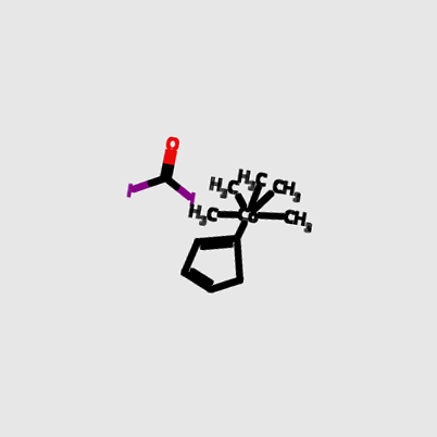 O=C(I)I.[CH3][Co]([CH3])([CH3])([CH3])([CH3])[C]1=CC=CC1